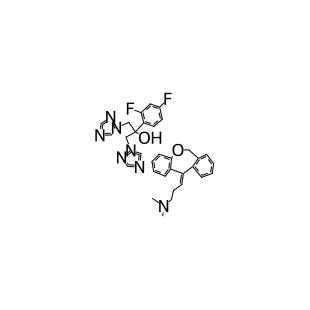 CN(C)CCC=C1c2ccccc2COc2ccccc21.OC(Cn1cncn1)(Cn1cncn1)c1ccc(F)cc1F